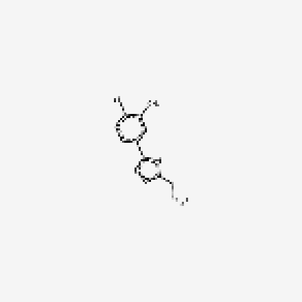 Cc1cc(-c2nc(CC(=O)O)cs2)ccc1Cl